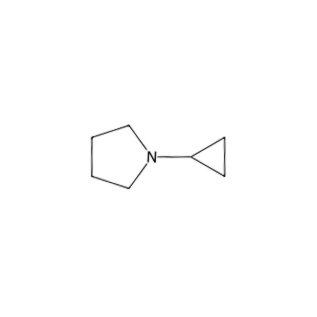 C1CCN(C2CC2)C1